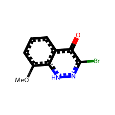 COc1cccc2c(=O)c(Br)n[nH]c12